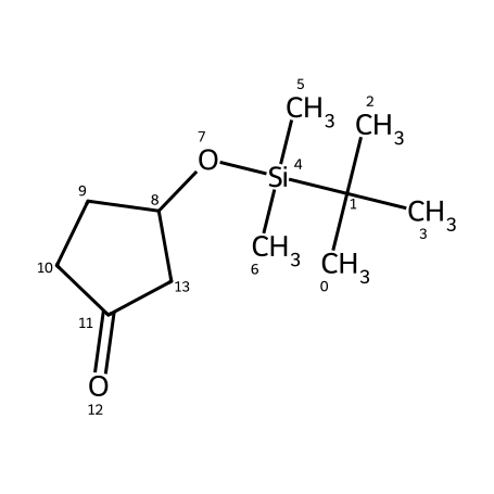 CC(C)(C)[Si](C)(C)OC1CCC(=O)C1